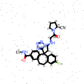 CCNC(=O)c1ccc2c(c1)CCc1cc(F)ccc1C2(CCNCC(=O)N1CCC[C@H]1C#N)c1nnn[nH]1